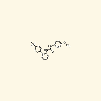 C[Si](C)(C)c1ccc(-c2ccccc2NC(=O)Nc2ccc(OC(F)(F)F)cc2)cc1